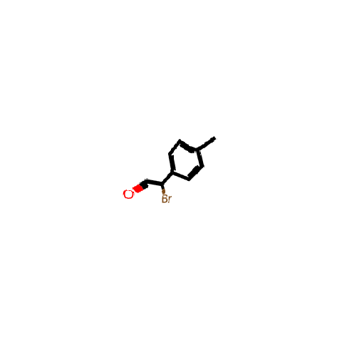 Cc1ccc(C(Br)C=O)cc1